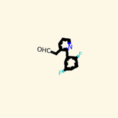 O=CCc1cccnc1-c1cc(F)ccc1F